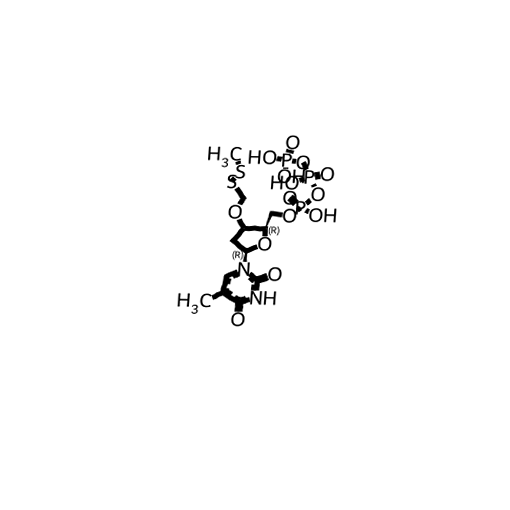 CSSCOC1C[C@H](n2cc(C)c(=O)[nH]c2=O)O[C@@H]1COP(=O)(O)OP(=O)(O)OP(=O)(O)O